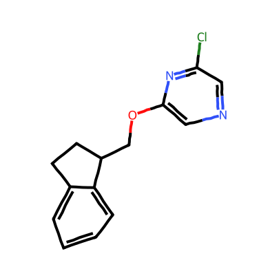 Clc1cncc(OCC2CCc3ccccc32)n1